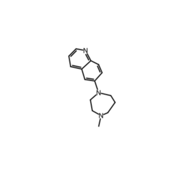 CN1CCCN(c2ccc3ncccc3c2)CC1